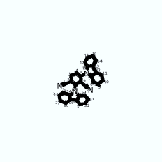 N#Cc1ccc(-n2c3ccccc3c3ccccc32)c(C#N)c1-n1c2ccccc2c2ccccc21